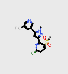 CCS(=O)(=O)C1=CCC(Cl)N=C1c1cc(-c2cncc(C(F)(F)F)c2)n(C)n1